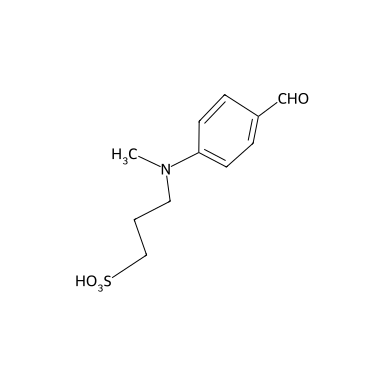 CN(CCCS(=O)(=O)O)c1ccc(C=O)cc1